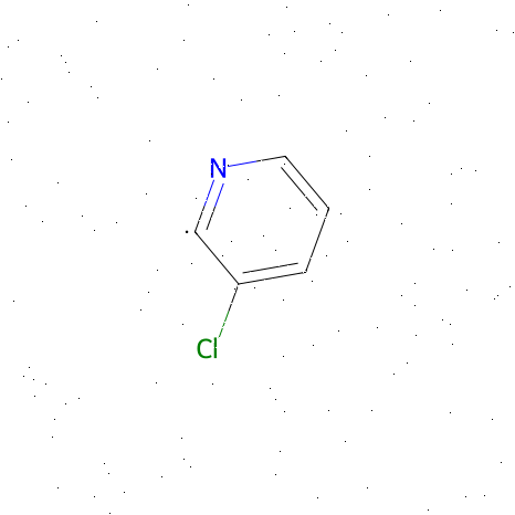 Clc1[c]nccc1